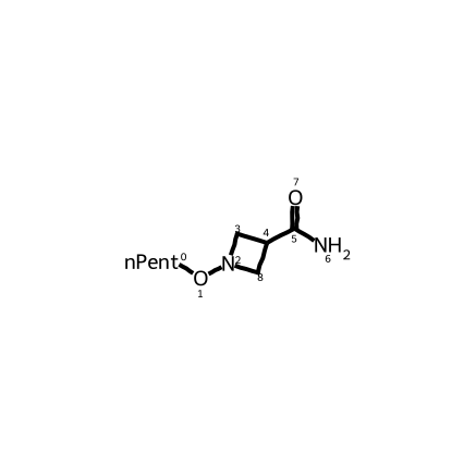 CCCCCON1CC(C(N)=O)C1